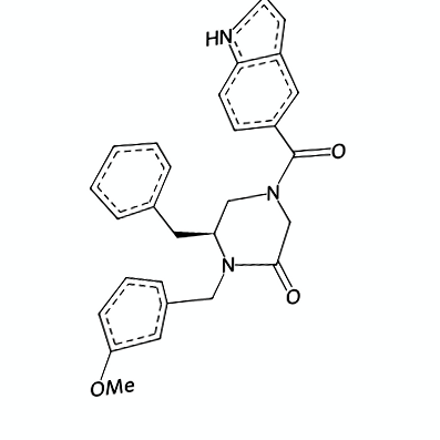 COc1cccc(CN2C(=O)CN(C(=O)c3ccc4[nH]ccc4c3)C[C@@H]2Cc2ccccc2)c1